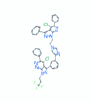 FC(F)(F)CCn1nc(-c2cccc(-c3cn(CCn4nc(-c5ccccc5)c5c(Cl)c(-c6ccccc6)nnc54)cn3)c2)c2c(Cl)c(-c3ccccc3)nnc21